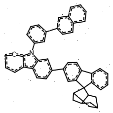 c1cc(-c2ccc3ccccc3c2)cc(-n2c3ccccc3c3ccc(-c4ccc5c(c4)C4(c6ccccc6-5)C5CC6CC(C5)C4C6)cc32)c1